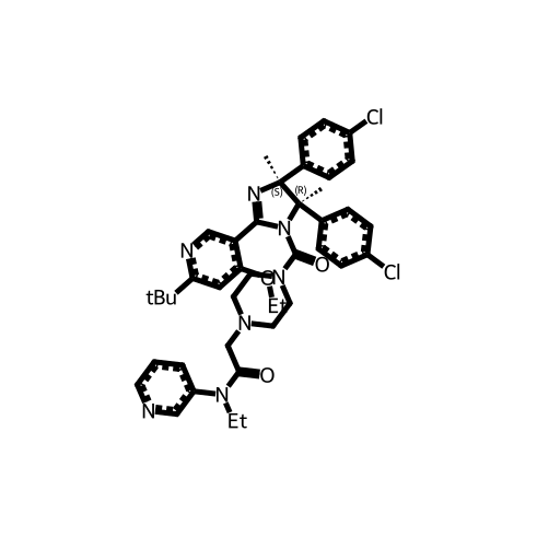 CCOc1cc(C(C)(C)C)ncc1C1=N[C@@](C)(c2ccc(Cl)cc2)[C@@](C)(c2ccc(Cl)cc2)N1C(=O)N1CCN(CC(=O)N(CC)c2cccnc2)CC1